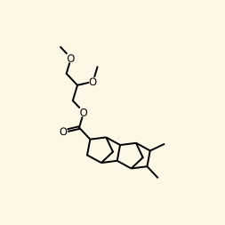 COCC(COC(=O)C1CC2CC1C1C3CC(C(C)C3C)C21)OC